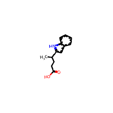 CC(CCC(=O)O)c1cc2ccccc2[nH]1